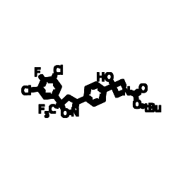 CC(C)(C)OC(=O)N1CC(O)(c2ccc(C3=NO[C@](c4cc(Cl)c(F)c(Cl)c4)(C(F)(F)F)C3)cc2)C1